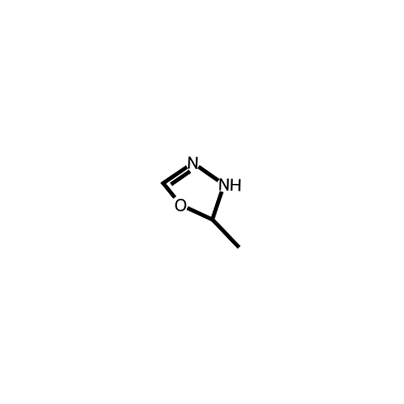 CC1NN=CO1